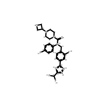 O=C(N1CCN(C2COC2)CC1)N(Cc1ccc(-c2nnc(C(F)F)o2)cc1F)c1ccc(F)cc1